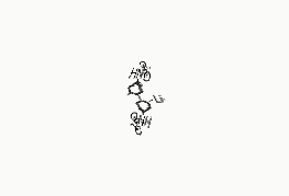 Cc1cc(NS(C)(=O)=O)ccc1-c1ccc(NS(C)(=O)=O)cc1C.[Li]